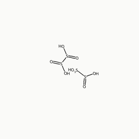 O=S(O)S(=O)(=O)O.O=S(O)S(=O)O